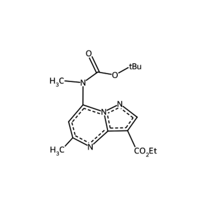 CCOC(=O)c1cnn2c(N(C)C(=O)OC(C)(C)C)cc(C)nc12